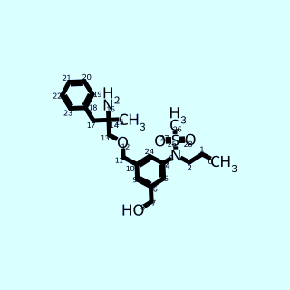 CCCN(c1cc(CO)cc(COCC(C)(N)Cc2ccccc2)c1)S(C)(=O)=O